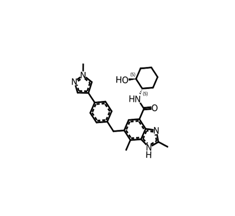 Cc1nc2c(C(=O)N[C@H]3CCCC[C@@H]3O)cc(Cc3ccc(-c4cnn(C)c4)cc3)c(C)c2[nH]1